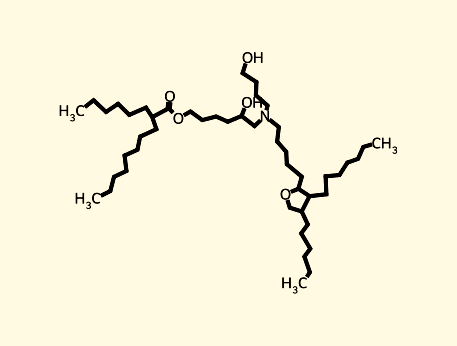 CCCCCCCCC(CCCCCC)C(=O)OCCCCC(O)CN(CCCCO)CCCCCC1OCC(CCCCCC)C1CCCCCCC